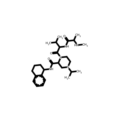 CNC(C)C(=O)NC(C(=O)N1CCN(C(C)C)CC1C(=O)NC1CCCc2ccccc21)C(C)C